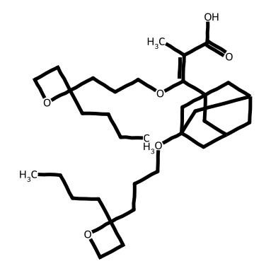 CCCCC1(CCCOC(=C(C)C(=O)O)C23CC4CC(CC(OCCCC5(CCCC)CCO5)(C4)C2)C3)CCO1